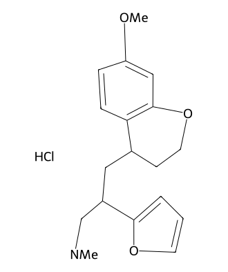 CNCC(CC1CCOc2cc(OC)ccc21)c1ccco1.Cl